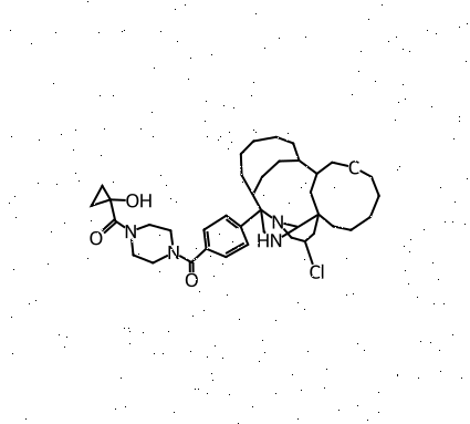 O=C(c1ccc(C23CNC4N2CC(Cl)CC42CCCCCCCC(C2)C2CCCCCC3CC2)cc1)N1CCN(C(=O)C2(O)CC2)CC1